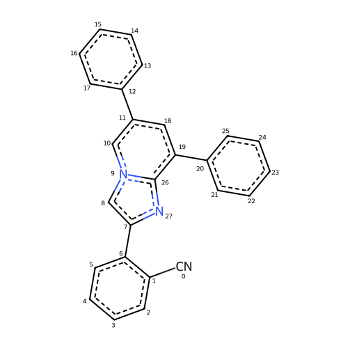 N#Cc1ccccc1-c1cn2cc(-c3ccccc3)cc(-c3ccccc3)c2n1